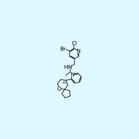 Clc1ncc(CNCC[C@@]2(c3ccccn3)CCOC3(CCCC3)C2)cc1Br